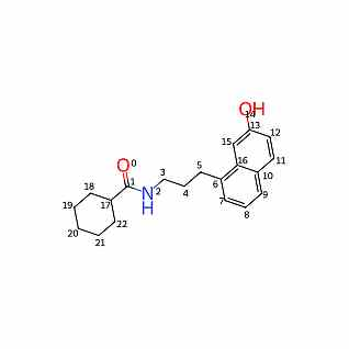 O=C(NCCCc1cccc2ccc(O)cc12)C1CCCCC1